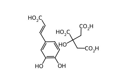 O=C(O)C=Cc1ccc(O)c(O)c1.O=C(O)CC(O)(CC(=O)O)C(=O)O